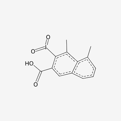 Cc1cccc2cc(C(=O)O)c(I(=O)=O)c(C)c12